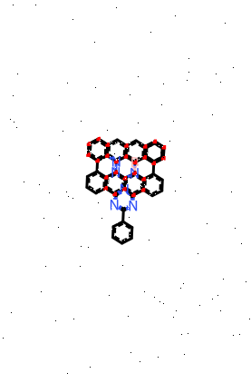 c1ccc(B2c3ccccc3N(c3c(-c4ccccc4)cccc3-c3nc(-c4ccccc4)nc(-c4cccc(-c5ccccc5)c4N4c5ccccc5N(c5ccccc5)c5ccccc54)n3)c3ccccc32)cc1